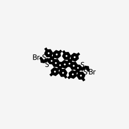 Cc1ccc(C2(c3ccc(C)cc3)c3cc4c(cc3-c3cc5c(cc32)-c2sc3cc(Br)sc3c2C5(c2ccc(C)cc2)c2ccc(C)cc2)C(c2ccc(C)cc2)(c2ccc(C)cc2)c2cc3c(cc2-4)C(c2ccc(C)cc2)(c2ccc(C)cc2)c2c-3sc3cc(Br)sc23)cc1